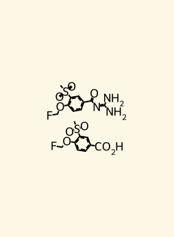 CS(=O)(=O)c1cc(C(=O)N=C(N)N)ccc1OCF.CS(=O)(=O)c1cc(C(=O)O)ccc1OCF